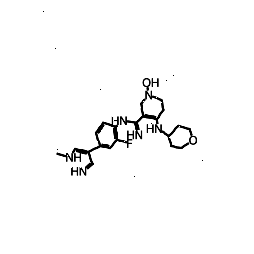 CN/C=C(\C=N)c1ccc(NC(=N)C2=C(NC3CCOCC3)CCN(O)C2)c(F)c1